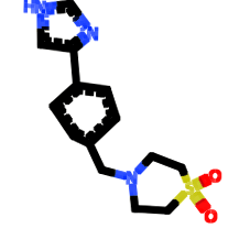 O=S1(=O)CCN(Cc2ccc(-c3c[nH]cn3)cc2)CC1